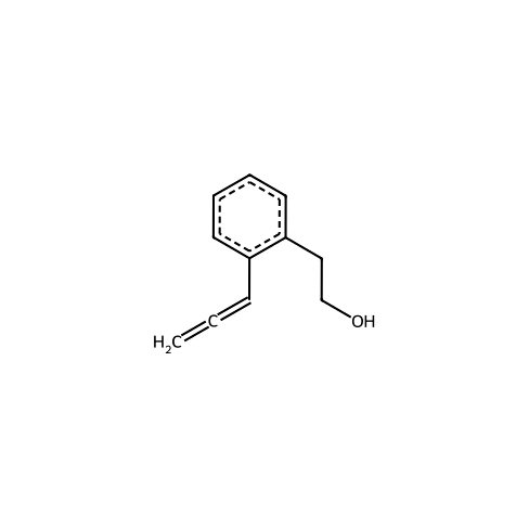 C=C=Cc1ccccc1CCO